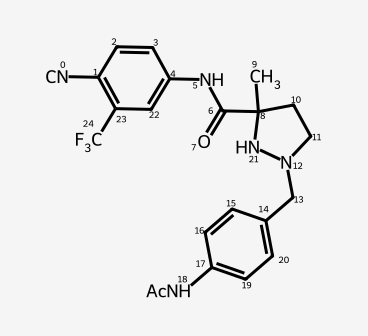 [C-]#[N+]c1ccc(NC(=O)C2(C)CCN(Cc3ccc(NC(C)=O)cc3)N2)cc1C(F)(F)F